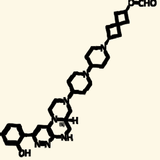 O=CO[C@H]1CC2(C1)C[C@H](N1CCC(N3CCC(N4CCN5c6cc(-c7ccccc7O)nnc6NC[C@H]5C4)CC3)CC1)C2